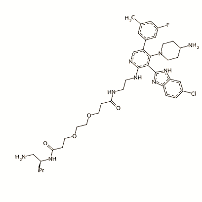 Cc1cc(F)cc(-c2cnc(NCCNC(=O)CCOCCOCCC(=O)N[C@H](CN)C(C)C)c(-c3nc4ccc(Cl)cc4[nH]3)c2N2CCC(N)CC2)c1